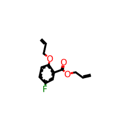 C=CCOC(=O)c1cc(F)ccc1OCC=C